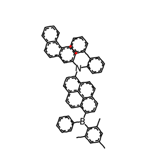 Cc1cc(C)c(B(c2ccccc2)c2ccc3ccc4c(N(c5ccc6c(ccc7ccccc76)c5)c5ccccc5-c5ccccc5)ccc5ccc2c3c54)c(C)c1